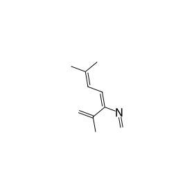 C=N/C(=C/C=C(C)C)C(=C)C